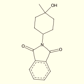 CC1(O)CCC(N2C(=O)c3ccccc3C2=O)CC1